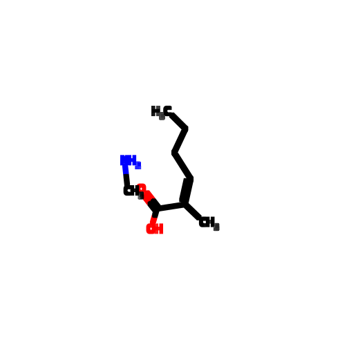 CCCC=C(C)C(=O)O.CN